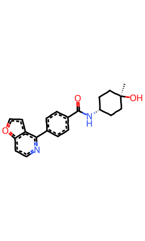 C[C@]1(O)CC[C@H](NC(=O)c2ccc(-c3nccc4occc34)cc2)CC1